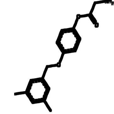 Cc1cc(C)cc(COc2ccc(OC(=O)CN)cc2)c1